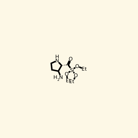 CCO[Si](OCC)(OCC)C(=O)[C@H]1NCCC1N